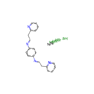 Br.Br.Br.Br.C(Cc1ccccn1)=Nc1ccc(N=CCc2ccccn2)cc1.[Ni].[Ni]